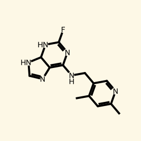 Cc1cc(C)c(CNC2=C3N=CNC3NC(F)=N2)cn1